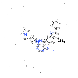 Cc1cc(-c2ccccc2)nc2cc(-c3nn(C4CC(CN5CCC5)C4)c4ncnc(N)c34)ccc12